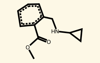 COC(=O)c1ccccc1CNC1CC1